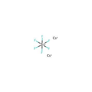 [Cs+].[Cs+].[F][Zr-2]([F])([F])([F])([F])[F]